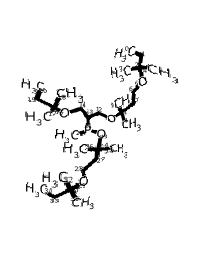 CCC(C)(C)OCCC(C)(C)OCC(COC(C)(C)CC)P(C)OC(C)(C)CCOC(C)(C)CC